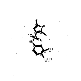 Cc1cc(S(=O)(=O)Nc2ccc(C(=O)O)c(O)c2)c(C)o1